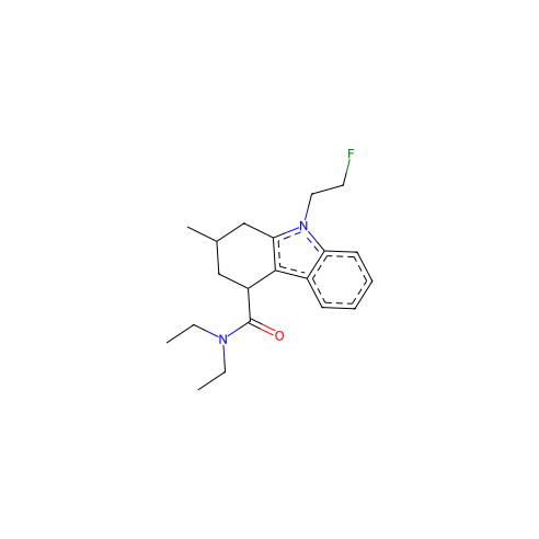 CCN(CC)C(=O)C1CC(C)Cc2c1c1ccccc1n2CCF